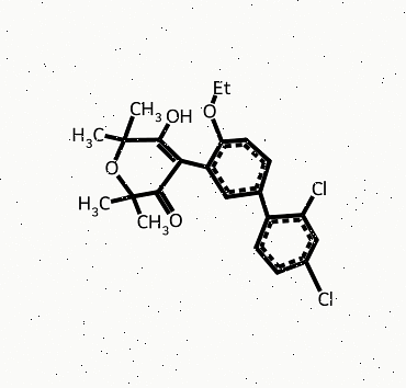 CCOc1ccc(-c2ccc(Cl)cc2Cl)cc1C1=C(O)C(C)(C)OC(C)(C)C1=O